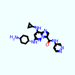 N[C@H]1CC[C@H](Nc2cc(NC3CC3)c3ncc(C(=O)Nc4ccnnc4)n3n2)CC1